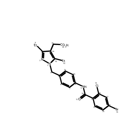 CCc1nn(Cc2ccc(NC(=O)c3ccc(Br)cc3Cl)cc2)c(CC)c1CC(=O)O